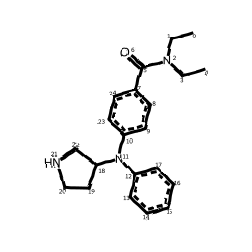 CCN(CC)C(=O)c1ccc(N(c2ccccc2)C2CCNC2)cc1